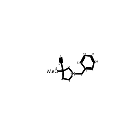 C#CC1(OC)CCN(Cc2ccccc2)C1